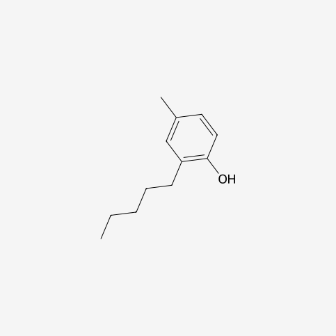 CCCCCc1cc(C)ccc1O